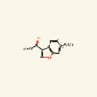 COC(=O)c1coc2cc(OC)ccc12